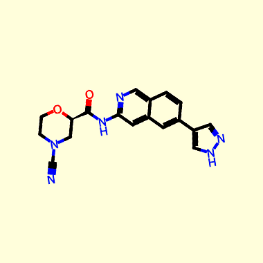 N#CN1CCO[C@@H](C(=O)Nc2cc3cc(-c4cn[nH]c4)ccc3cn2)C1